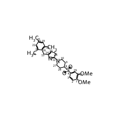 COc1ccc(S(=O)(=O)C2CCN(c3nc(Cc4c(C)cc(C)cc4C)cs3)CC2)cc1OC